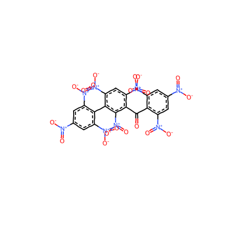 O=C(c1c([N+](=O)[O-])cc([N+](=O)[O-])cc1[N+](=O)[O-])c1c([N+](=O)[O-])cc([N+](=O)[O-])c(-c2c([N+](=O)[O-])cc([N+](=O)[O-])cc2[N+](=O)[O-])c1[N+](=O)[O-]